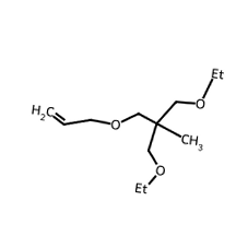 C=CCOCC(C)(COCC)COCC